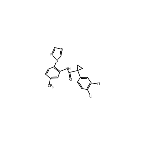 O=C(Nc1cc(C(F)(F)F)ccc1-n1cncn1)C1(c2ccc(Cl)c(Cl)c2)CC1